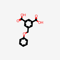 O=C(O)c1cc(COc2ccccc2)cc(C(=O)O)c1